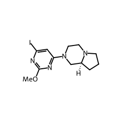 COc1nc(I)cc(N2CCN3CCC[C@H]3C2)n1